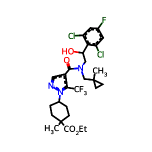 CCOC(=O)C1(C)CCC(n2ncc(C(=O)N(CC(O)c3c(Cl)cc(F)cc3Cl)CC3(C)CC3)c2C(F)(F)F)CC1